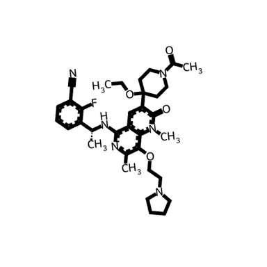 CCOC1(c2cc3c(N[C@H](C)c4cccc(C#N)c4F)nc(C)c(OCCN4CCCC4)c3n(C)c2=O)CCN(C(C)=O)CC1